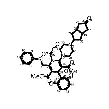 COC(=O)C1=C(C[S+]([O-])c2ccccc2)N(C=C=O)C(N2CCN(C3CC4CC(=O)CC4C3)CC2)=C(C(=O)OC)C1c1c(Cl)cccc1Cl